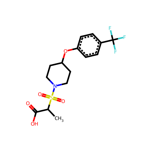 CC(C(=O)O)S(=O)(=O)N1CCC(Oc2ccc(C(F)(F)F)cc2)CC1